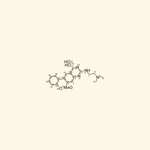 COc1cc2nc(NCCN(C)C)ncc2cc1-c1ccccc1Cl.Cl.Cl